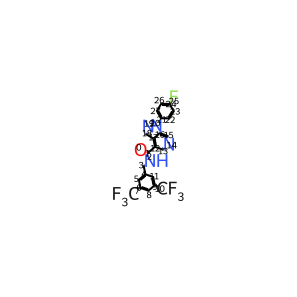 O=C(NCc1cc(C(F)(F)F)cc(C(F)(F)F)c1)c1cncc2c1cnn2-c1ccc(F)cc1